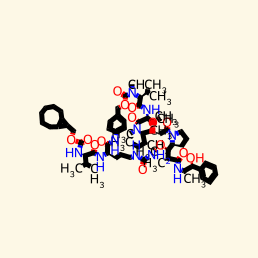 CC[C@H](C)[C@@H]([C@@H](CC(=O)N1CCC[C@H]1[C@H](OC)[C@@H](C)C(=O)N[C@H](C)[C@@H](O)c1ccccc1)OC)N(C)C(=O)[C@@H](NC(=O)[C@H](C(C)C)N(C)C(=O)OCc1ccc(NC(=O)[C@@H](CCCNC(N)=O)NC(=O)[C@@H](NC(=O)OCC2C3CCCCCCC32)C(C)C)cc1)C(C)C